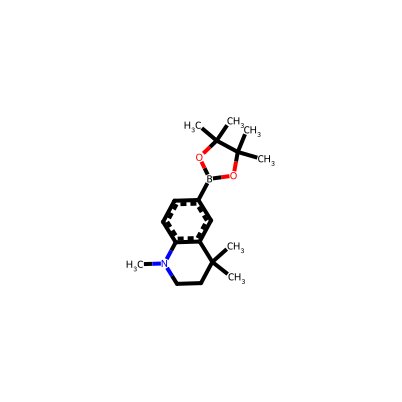 CN1CCC(C)(C)c2cc(B3OC(C)(C)C(C)(C)O3)ccc21